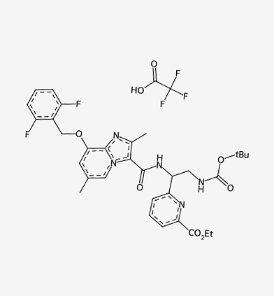 CCOC(=O)c1cccc(C(CNC(=O)OC(C)(C)C)NC(=O)c2c(C)nc3c(OCc4c(F)cccc4F)cc(C)cn23)n1.O=C(O)C(F)(F)F